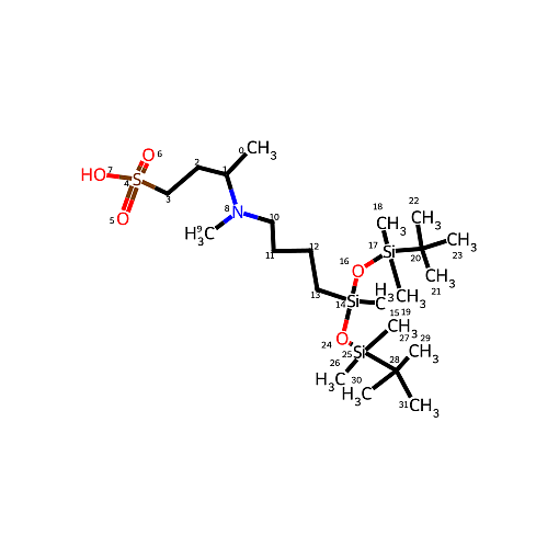 CC(CCS(=O)(=O)O)N(C)CCCC[Si](C)(O[Si](C)(C)C(C)(C)C)O[Si](C)(C)C(C)(C)C